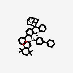 CC1(C)CCC(C)(C)c2cc(N(c3ccc(-c4ccccc4)cc3)c3c(-c4ccccc4)ccc4c3Sc3ccccc3C43C4CC5CC6CC3C64C5)ccc21